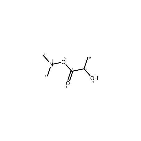 CC(O)C(=O)ON(C)C